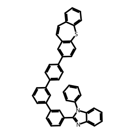 C1=Cc2cc(-c3ccc(-c4cccc(-c5cccc(-c6nc7ccccc7n6-c6ccccc6)c5)c4)cc3)ccc2Sc2ccccc21